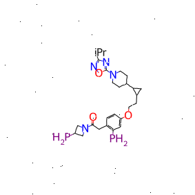 CC(C)c1noc(N2CCC(C3CC3CCOc3ccc(CC(=O)N4CC(P)C4)c(P)c3)CC2)n1